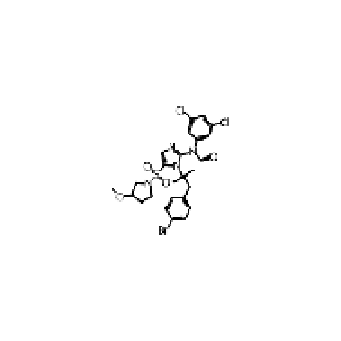 COC1CCN(S(=O)(=O)c2cnc(N(C=O)c3cc(Cl)cc(Cl)c3)n2C(C)(C)Cc2ccc(Br)cc2)C1